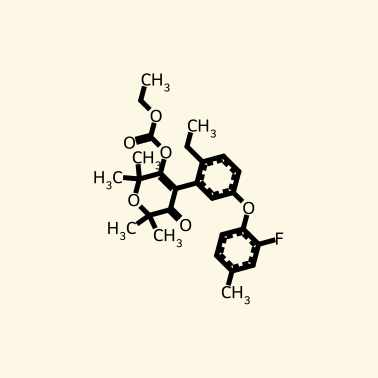 CCOC(=O)OC1=C(c2cc(Oc3ccc(C)cc3F)ccc2CC)C(=O)C(C)(C)OC1(C)C